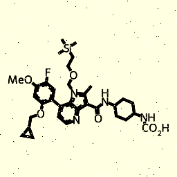 COc1cc(OCC2CC2)c(-c2ccnc3c(C(=O)NC4CCC(NC(=O)O)CC4)c(C)n(COCC[Si](C)(C)C)c23)cc1F